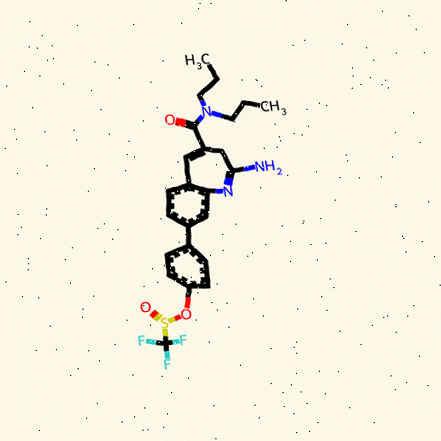 CCCN(CCC)C(=O)C1=Cc2ccc(-c3ccc(OS(=O)C(F)(F)F)cc3)cc2N=C(N)C1